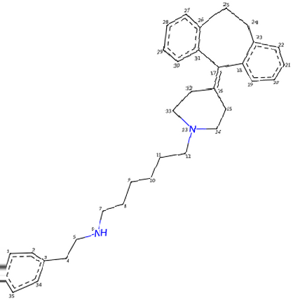 c1ccc(CCNCCCCCCN2CCC(=C3c4ccccc4CCc4ccccc43)CC2)cc1